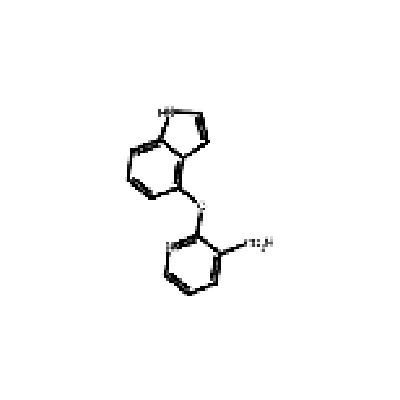 O=C(O)c1cccnc1Oc1cccc2[nH]ccc12